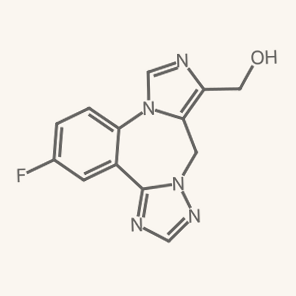 OCc1ncn2c1Cn1ncnc1-c1cc(F)ccc1-2